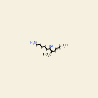 NCCCCCC(N)C(CCCC(=O)O)C(=O)O